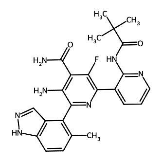 Cc1ccc2[nH]ncc2c1-c1nc(-c2cccnc2NC(=O)C(C)(C)C)c(F)c(C(N)=O)c1N